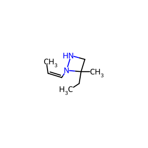 C/C=C\N1NCC1(C)CC